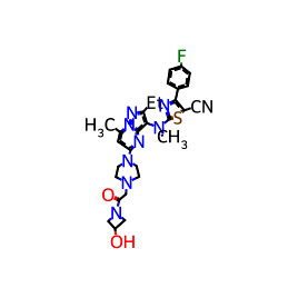 CCc1nn2c(C)cc(N3CCN(CC(=O)N4CC(O)C4)CC3)nc2c1N(C)c1nc(-c2ccc(F)cc2)c(C#N)s1